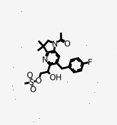 CC(=O)N1CC(C)(C)c2nc(C(O)COS(C)(=O)=O)c(Cc3ccc(F)cc3)cc21